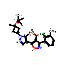 COc1cccc(-c2noc(-c3cnn(C4CC(C)(O[Si](C)(C)C(C)(C)C)C4)c3C(F)(F)F)c2CO)c1Cl